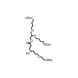 CCCCCCCCCCCCCCOCC(COC(=O)CCN(CCCOCCOC)C(C)=O)OCCCCCCCCCCCCCC